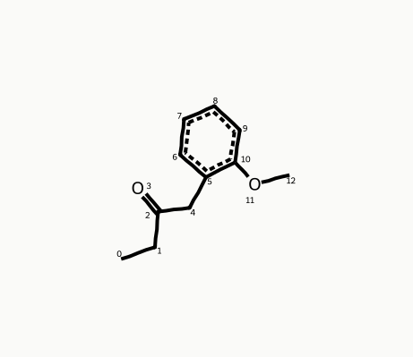 CCC(=O)Cc1ccccc1OC